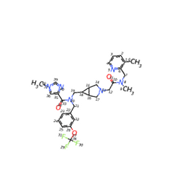 Cc1cccnc1CN(C)C(=O)CN1CC2C(C1)C2CN(Cc1cccc(OC(F)(F)F)c1)C(=O)c1cn(C)cn1